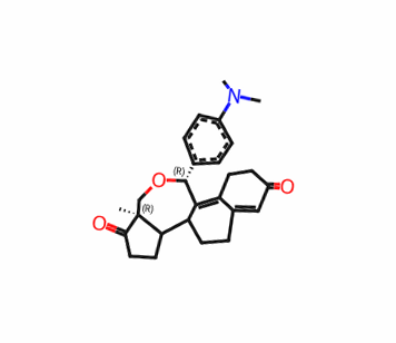 CN(C)c1ccc([C@H]2OC[C@]3(C)C(=O)CCC3C3CCC4=CC(=O)CCC4=C32)cc1